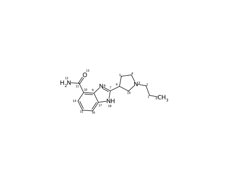 CCCN1CCC(c2nc3c(C(N)=O)cccc3[nH]2)C1